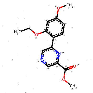 CCOc1cc(OC)ccc1-c1cncc(C(=O)OC)n1